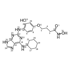 Cl.O=C(CCCOc1ccc(Nc2nc(NC3CCCCC3)c3nc[nH]c3n2)cc1)NO